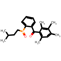 Cc1cc(C)c(C(=O)c2ccccc2[P](=O)CCC(C)C)c(C)c1C